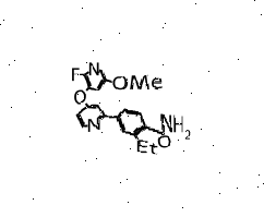 CCc1cc(-c2cc(Oc3cc(OC)cnc3F)ccn2)ccc1C(N)=O